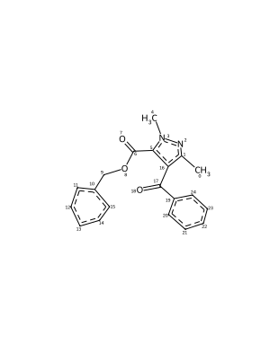 Cc1nn(C)c(C(=O)OCc2ccccc2)c1C(=O)c1ccccc1